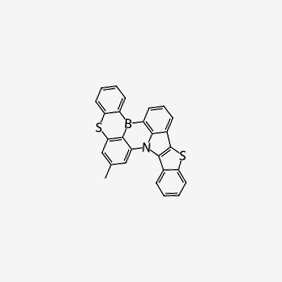 Cc1cc2c3c(c1)-n1c4c(cccc4c4sc5ccccc5c41)B3c1ccccc1S2